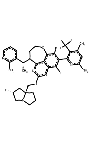 Cc1cc(N)nc(-c2c(F)c3c4c(nc(OC[C@@]56CCCN5C[C@H](F)C6)nc4c2F)N([C@H](C)c2cccnc2N)CCO3)c1C(F)(F)F